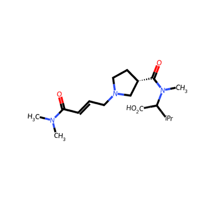 CC(C)C(C(=O)O)N(C)C(=O)[C@H]1CCN(C/C=C/C(=O)N(C)C)C1